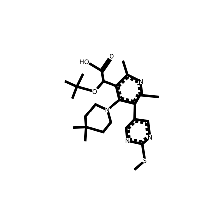 CSc1ncc(-c2c(C)nc(C)c(C(OC(C)(C)C)C(=O)O)c2N2CCC(C)(C)CC2)cn1